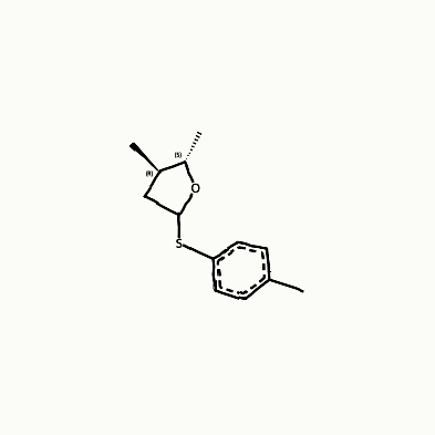 Cc1ccc(SC2C[C@@H](C)[C@H](C)O2)cc1